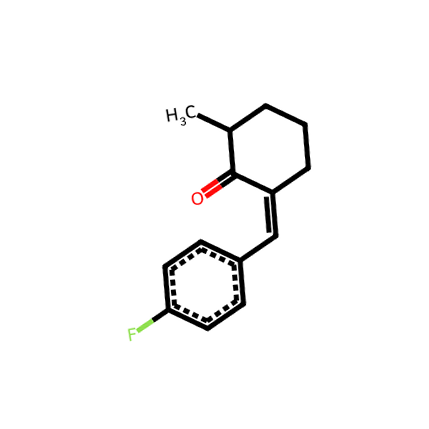 CC1CCCC(=Cc2ccc(F)cc2)C1=O